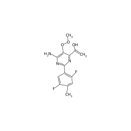 C=C(O)c1nc(-c2cc(F)c(C)cc2F)nc(N)c1OOC